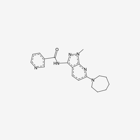 Cn1nc(NC(=O)c2cccnc2)c2ccc(N3CCCCCC3)nc21